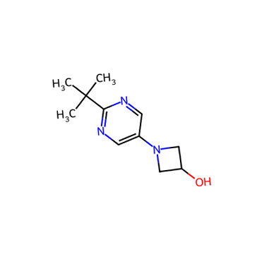 CC(C)(C)c1ncc(N2CC(O)C2)cn1